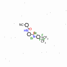 N#Cc1cccc(C(=O)Nc2cccc(C(=O)N(Br)c3ccc(C(F)(C(F)(F)F)C(F)(F)C(F)(F)F)cc3Br)c2)c1